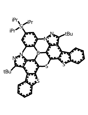 CC(C)[Si](c1cc2c3c(c1)-n1nc(C(C)(C)C)c4c5c(sc6ccccc65)c5c(c41)B3c1c(c3sc4ccccc4c3c3c(C(C)(C)C)nn-2c13)S5)(C(C)C)C(C)C